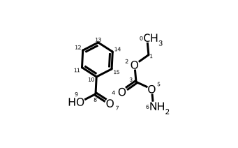 CCOC(=O)ON.O=C(O)c1ccccc1